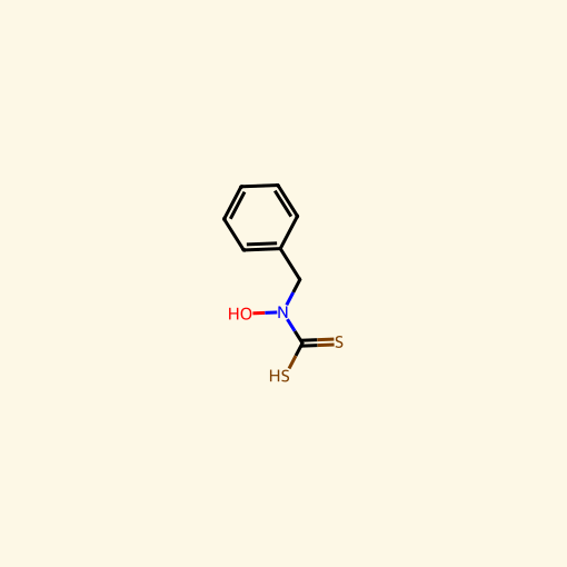 ON(Cc1ccccc1)C(=S)S